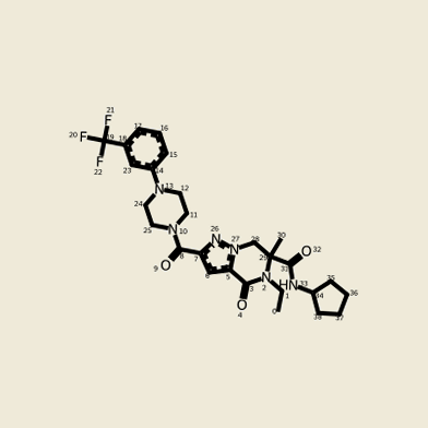 CCN1C(=O)c2cc(C(=O)N3CCN(c4cccc(C(F)(F)F)c4)CC3)nn2CC1(C)C(=O)NC1CCCC1